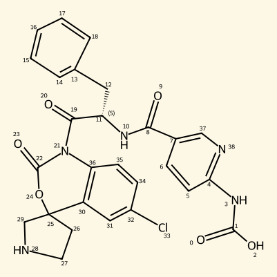 O=C(O)Nc1ccc(C(=O)N[C@@H](Cc2ccccc2)C(=O)N2C(=O)OC3(CCNC3)c3cc(Cl)ccc32)cn1